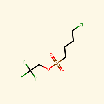 O=S(=O)(CCCCCl)OCC(F)(F)F